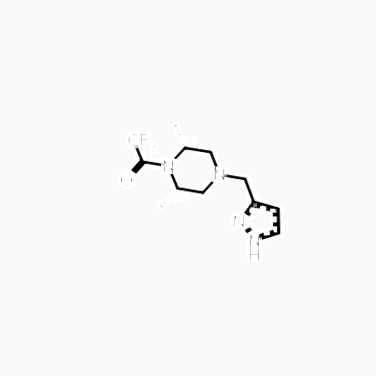 C[C@@H]1CN(Cc2cc[nH]n2)C[C@H](C)N1C(=O)C(F)(F)F